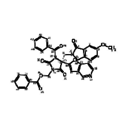 COc1ccc2c(c1)C(=O)N(C[C@]1(c3cc4cnccc4o3)C(=O)N(COC(=O)c3ccccc3)C(=O)N1C(=O)c1ccccc1)C2